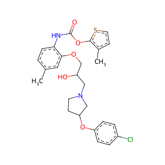 Cc1ccc(NC(=O)Oc2sccc2C)c(OCC(O)CN2CCC(Oc3ccc(Cl)cc3)C2)c1